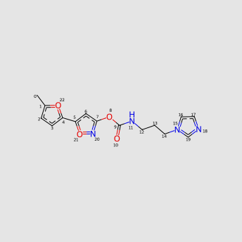 Cc1ccc(-c2cc(OC(=O)NCCCn3ccnc3)no2)o1